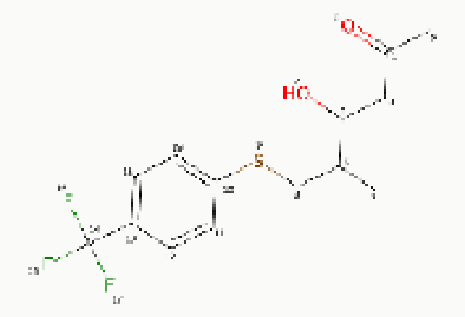 CC(=O)CC(O)C(C)CSc1ccc(C(F)(F)F)cc1